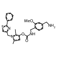 COc1cc(CN)ccc1CNC(=O)Oc1cc(C)n(Cc2csc(-c3ccccc3)n2)c1C